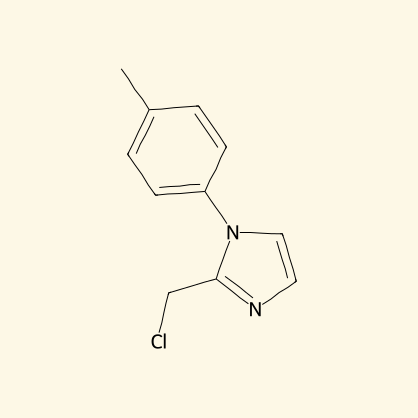 Cc1ccc(-n2ccnc2CCl)cc1